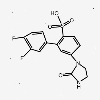 O=C1NCCN1c1ccc(S(=O)(=O)O)c(-c2ccc(F)c(F)c2)c1